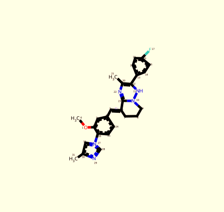 COc1cc(/C=C2\CCCN3NC(c4ccc(F)cc4)=C(C)N=C23)ccc1-n1cnc(C)c1